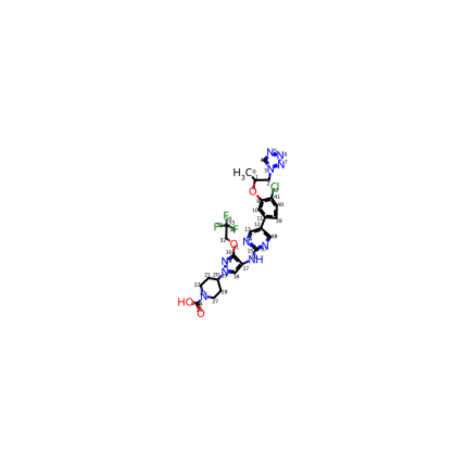 CC(Cn1cnnn1)Oc1cc(-c2cnc(Nc3cn(C4CCN(C(=O)O)CC4)nc3OCC(F)(F)F)nc2)ccc1Cl